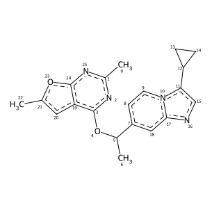 Cc1nc(OC(C)c2ccn3c(C4CC4)cnc3c2)c2cc(C)oc2n1